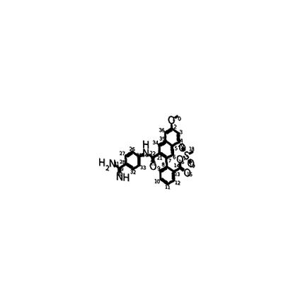 COc1ccc2cc(-c3ccccc3C(=O)OS(C)(=O)=O)c(C(=O)Nc3ccc(C(=N)N)cc3)cc2c1